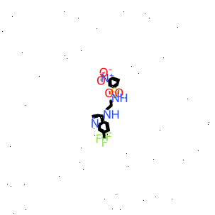 O=[N+]([O-])c1cccc(S(=O)(=O)NCCCNc2ccnc3cc(C(F)(F)F)ccc23)c1